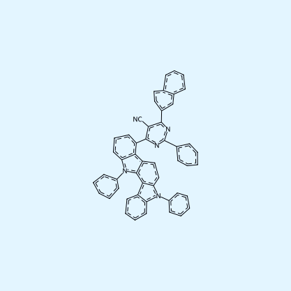 N#Cc1c(-c2ccc3ccccc3c2)nc(-c2ccccc2)nc1-c1cccc2c1c1ccc3c(c4ccccc4n3-c3ccccc3)c1n2-c1ccccc1